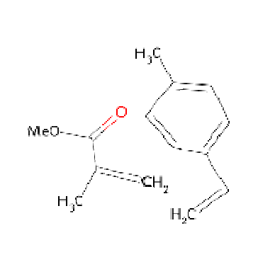 C=C(C)C(=O)OC.C=Cc1ccc(C)cc1